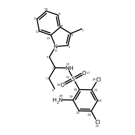 CCC(Cn1cc(C)c2ccccc21)NS(=O)(=O)c1c(N)cc(Cl)cc1Cl